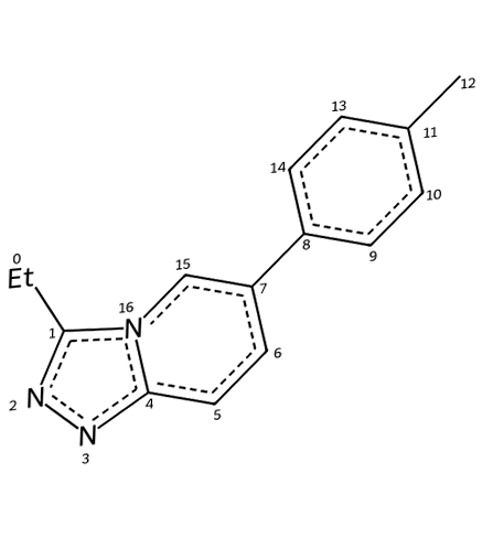 CCc1nnc2ccc(-c3ccc(C)cc3)cn12